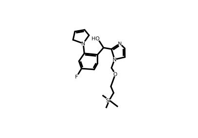 C[Si](C)(C)CCOCn1ccnc1C(O)c1ccc(F)cc1N1CC=CC1